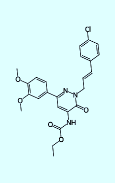 CCOC(=O)Nc1cc(-c2ccc(OC)c(OC)c2)nn(CC=Cc2ccc(Cl)cc2)c1=O